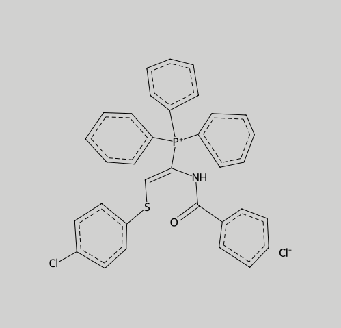 O=C(NC(=CSc1ccc(Cl)cc1)[P+](c1ccccc1)(c1ccccc1)c1ccccc1)c1ccccc1.[Cl-]